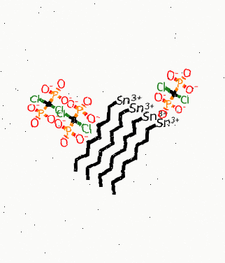 CCCCCCC[CH2][Sn+3].CCCCCCC[CH2][Sn+3].CCCCCCC[CH2][Sn+3].CCCCCCC[CH2][Sn+3].O=P([O-])([O-])C(Cl)(Cl)P(=O)([O-])[O-].O=P([O-])([O-])C(Cl)(Cl)P(=O)([O-])[O-].O=P([O-])([O-])C(Cl)(Cl)P(=O)([O-])[O-]